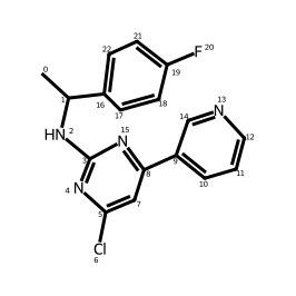 CC(Nc1nc(Cl)cc(-c2cccnc2)n1)c1ccc(F)cc1